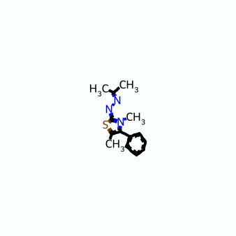 CC(C)=NN=c1sc(C)c(-c2ccccc2)n1C